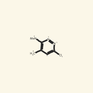 CNc1nnc(Cl)cc1C